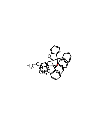 CON(C)C(=O)CP(=O)(C(c1ccccc1)(c1ccccc1)c1ccccc1)C(c1ccccc1)(c1ccccc1)c1ccccc1